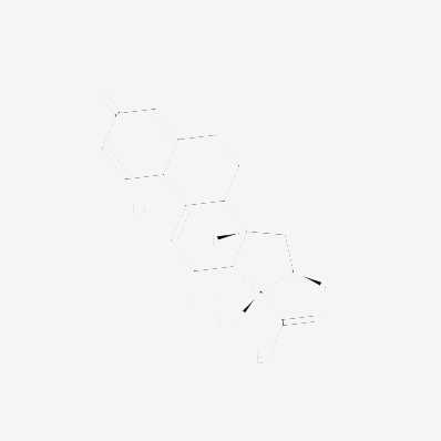 CCC(=O)[C@@]1(O)[C@H](C)C[C@H]2[C@@H]3CCC4=CC(=O)C=C[C@]4(C)C3=CC[C@@]21C